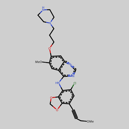 COCC#Cc1cc(Cl)c(Nc2ncnc3cc(OCCCN4CCNCC4)c(OC)cc23)c2c1OCO2